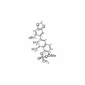 C=Cc1c(/C=C(\C)c2cc3c(cc2CCC)OCO3)ccc(OC)c1OS(C)(=O)=O